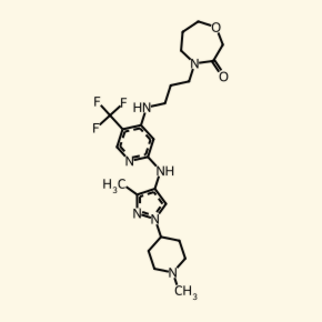 Cc1nn(C2CCN(C)CC2)cc1Nc1cc(NCCCN2CCCOCC2=O)c(C(F)(F)F)cn1